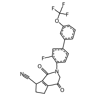 N#CC1CCC2=C1C(=O)N(c1ccc(-c3cccc(OC(F)(F)F)c3)cc1F)CC2=O